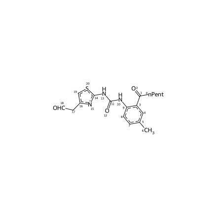 CCCCCC(=O)c1cc(C)ccc1NC(=O)Nc1nc(CC=O)cs1